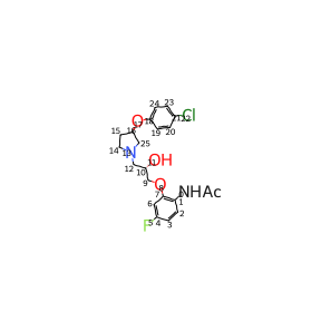 CC(=O)Nc1ccc(F)cc1OC[C@@H](O)CN1CC[C@@H](Oc2ccc(Cl)cc2)C1